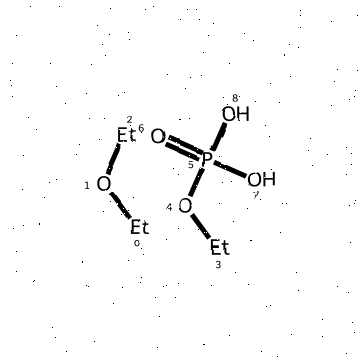 CCOCC.CCOP(=O)(O)O